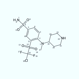 CN(c1ccc(S(N)(=O)=O)cc1S(=O)(=O)C(F)(F)Cl)C1CCNCC1